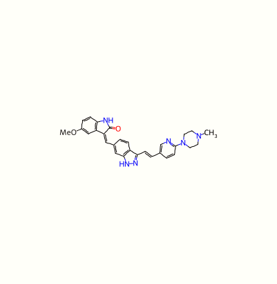 COc1ccc2c(c1)C(=Cc1ccc3c(C=Cc4ccc(N5CCN(C)CC5)nc4)n[nH]c3c1)C(=O)N2